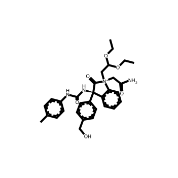 CCOC(C[N+]1(CC(N)=O)C(=O)[C@@](NC(=O)Nc2ccc(C)cc2)(c2ccc(CO)cc2)c2ccccc21)OCC